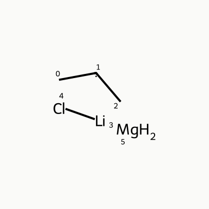 C[CH]C.[Li][Cl].[MgH2]